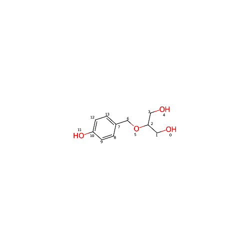 OCC(CO)OCc1ccc(O)cc1